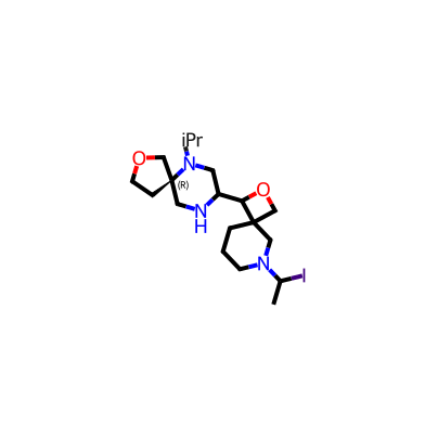 CC(I)N1CCCC2(COC2C2CN(C(C)C)[C@]3(CCOC3)CN2)C1